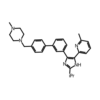 Cc1cccc(-c2[nH]c(C(C)C)nc2-c2cccc(-c3ccc(CN4CCN(C)CC4)cc3)c2)n1